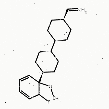 C=C[C@H]1CC[C@H]([C@H]2CC[C@H](C3(OC)C=CC=CC3F)CC2)CC1